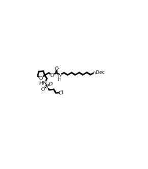 CCCCCCCCCCCCCCCCCCNC(=O)OCC1(CNS(=O)(=O)CCCCl)CCCO1